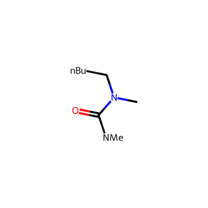 CCCCCN(C)C(=O)NC